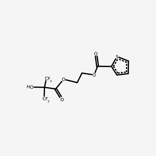 O=C(OCCOC(=O)C(O)(C(F)(F)F)C(F)(F)F)c1cccs1